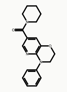 O=C(c1cnc2c(c1)OCCN2c1ccccc1)N1CCCCC1